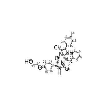 C[C@@H](c1ccccc1)[C@@H](c1nc(Cl)c(-c2ccc(I)cc2)[nH]1)N1C(=O)NC(c2ccc(OCCO)cc2)C1=O